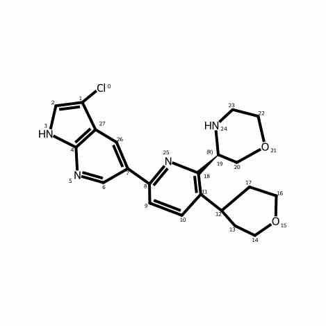 Clc1c[nH]c2ncc(-c3ccc(C4CCOCC4)c([C@@H]4COCCN4)n3)cc12